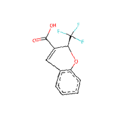 O=C(O)C1=Cc2ccccc2O[C@@H]1C(F)(F)F